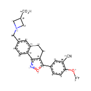 CC(C)Oc1ccc(-c2onc3c2CCc2cc(CN4CC(C(=O)O)C4)ccc2-3)cc1C#N